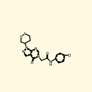 O=C(Cn1cnc2c(cnn2C2CCSOC2)c1=O)Nc1ccc(Cl)cc1